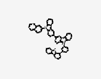 c1cc(-c2cccc3c2sc2ccccc23)cc(-n2c3ccccc3c3cc(-c4ccc5c(c4)c4ccccc4n5-c4ccc5ccccc5c4)ccc32)c1